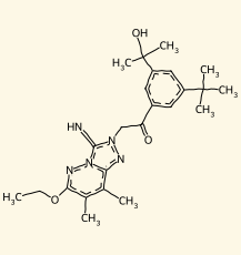 CCOc1nn2c(=N)n(CC(=O)c3cc(C(C)(C)C)cc(C(C)(C)O)c3)nc2c(C)c1C